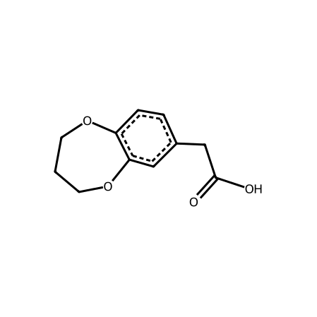 O=C(O)Cc1ccc2c(c1)OCCCO2